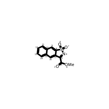 COC(=O)C1=NS(=O)(=O)c2cc3ccccc3cc21